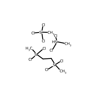 C[SiH](Cl)Cl.C[Si](Cl)(Cl)CC[Si](C)(Cl)Cl.C[Si](Cl)(Cl)Cl